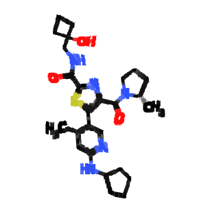 Cc1cc(NC2CCCC2)ncc1-c1sc(C(=O)NCC2(O)CCC2)nc1C(=O)N1CCC[C@@H]1C